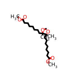 COC(=O)CCCCCCCC1(C)OCOC1(C)CCCCCCCC(=O)OC